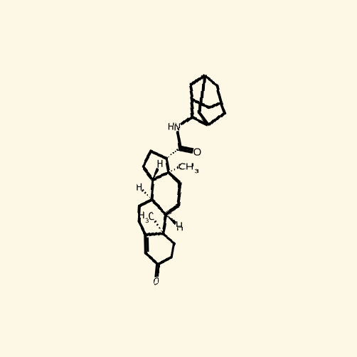 C[C@]12CC[C@H]3[C@@H](CCC4=CC(=O)CC[C@@]43C)[C@@H]1CC[C@@H]2C(=O)NC1C2CC3CC(C2)CC1C3